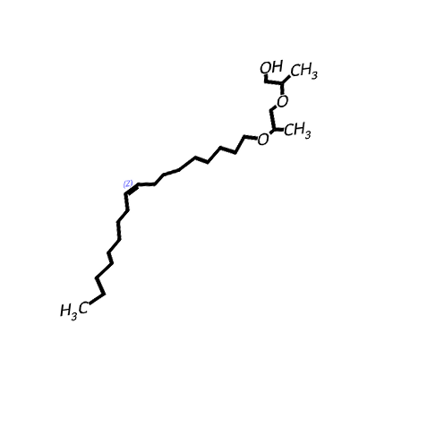 CCCCCCCC/C=C\CCCCCCCCOC(C)COC(C)CO